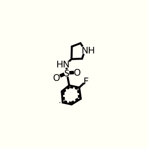 O=S(=O)(NC1CCNC1)c1c[c]ccc1F